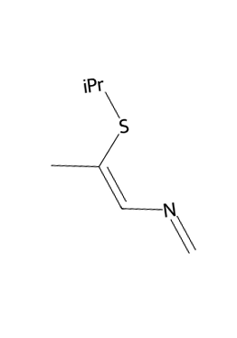 C=N/C=C(/C)SC(C)C